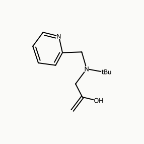 C=C(O)CN(Cc1ccccn1)C(C)(C)C